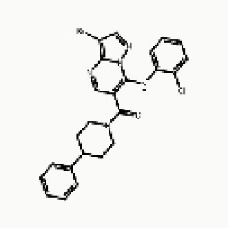 O=C(c1cnc2c(Br)cnn2c1Nc1ccccc1Cl)N1CCC(c2ccccc2)CC1